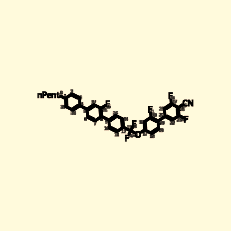 CCCCCc1ccc(-c2ccc(-c3ccc(C(F)(F)Oc4ccc(-c5cc(F)c(C#N)c(F)c5)c(F)c4)cc3)c(F)c2)cc1